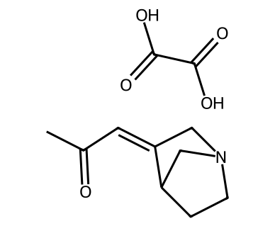 CC(=O)/C=C1/CN2CCC1C2.O=C(O)C(=O)O